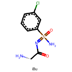 CC[C@H](C)[C@H](N)C(=O)N=S(N)(=O)c1cccc(Cl)c1